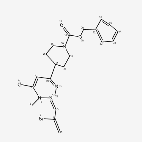 C=C(Br)/C=N\N(C)/C(Cl)=C\C(=N/C)C1CCN(C(=O)OCc2ccccc2)CC1